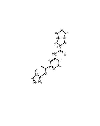 C[C@H](Sc1nncn1C)c1cccc(NC(=O)N2CC3CCCC3C2)c1